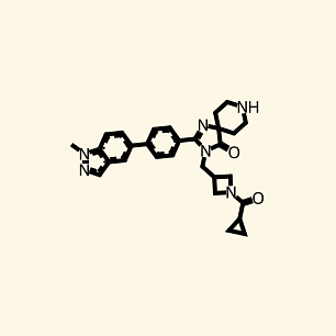 Cn1ncc2cc(-c3ccc(C4=NC5(CCNCC5)C(=O)N4CC4CN(C(=O)C5CC5)C4)cc3)ccc21